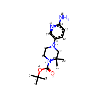 CC(C)(C)OC(=O)N1CCN(c2ccc(N)nc2)CC1(C)C